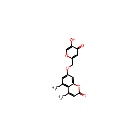 Cc1cc(OCc2cc(=O)c(O)co2)cc2oc(=O)cc(C)c12